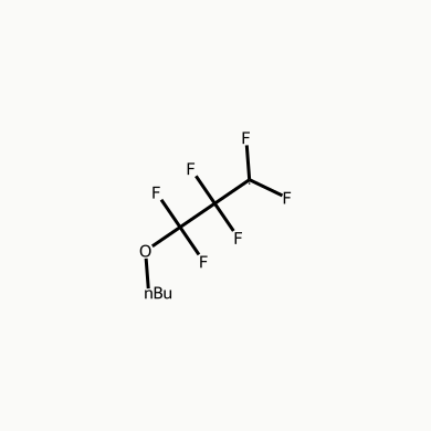 CCCCOC(F)(F)C(F)(F)[C](F)F